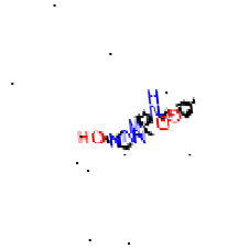 Cc1ccc(OCC(=O)Nc2ccc3nc(N4CCCN(CCO)CC4)nc(C)c3c2)cc1